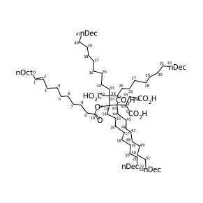 CCCCCCCCC=CCCCCCCCC(=O)OC(CCCCCCCCCCCCCCCCCC)(C(CCCCCCCCCCCCCCCCCC)(CCCCCCCCCCCCCCCCCC)C(=O)O)C(CCCCCCCCCCCCCCCCCC)(C(=O)O)C(CC(=O)O)C(=O)O